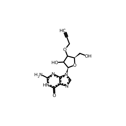 C#CCOC1C(O)[C@H](n2cnc3c(=O)[nH]c(N)nc32)O[C@@H]1CO